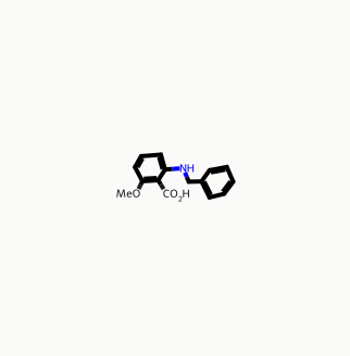 COc1cccc(NCc2ccccc2)c1C(=O)O